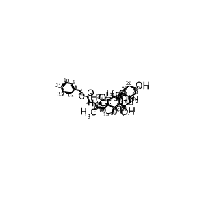 C[C@H](CCC(=O)OCc1ccccc1)[C@H]1CC[C@H]2[C@@H]3[C@H](O)C[C@@H]4C[C@H](O)CC[C@]4(C)[C@H]3C[C@H](O)[C@]12C